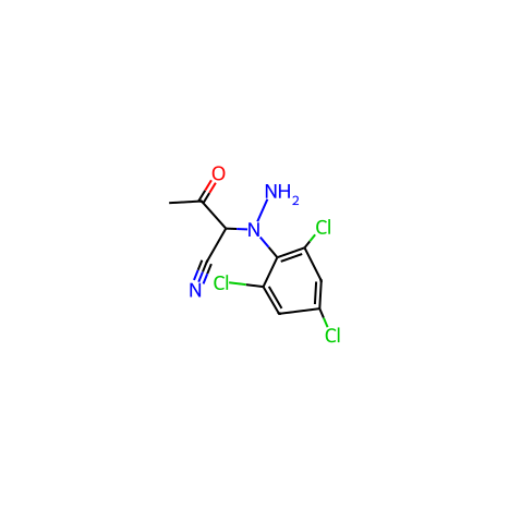 CC(=O)C(C#N)N(N)c1c(Cl)cc(Cl)cc1Cl